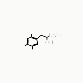 CNC(O)Cc1cc(F)c(F)cc1F